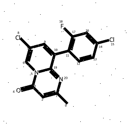 Cc1cc(=O)n2cc(Cl)cc(-c3ccc(Cl)cc3F)c2n1